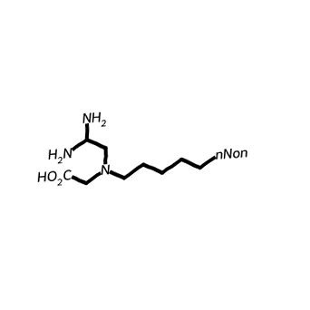 CCCCCCCCCCCCCCN(CC(=O)O)CC(N)N